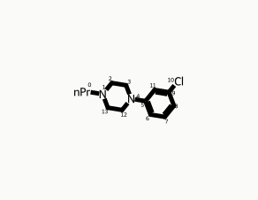 [CH2]CCN1CCN(c2cccc(Cl)c2)CC1